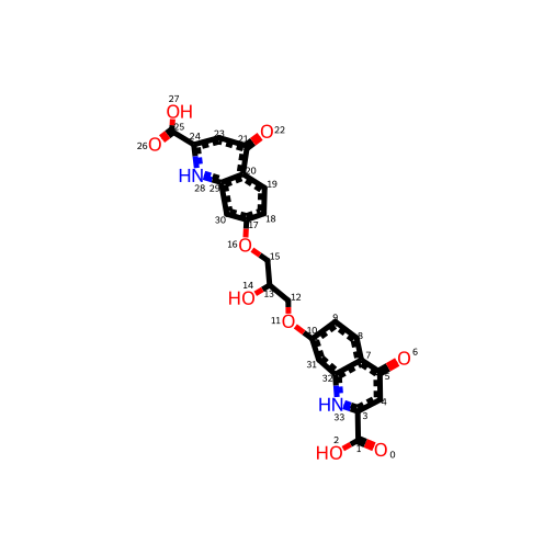 O=C(O)c1cc(=O)c2ccc(OCC(O)COc3ccc4c(=O)cc(C(=O)O)[nH]c4c3)cc2[nH]1